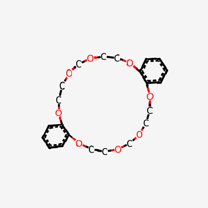 c1ccc2c(c1)OCCOCOCCOc1ccccc1OCCOCOCCO2